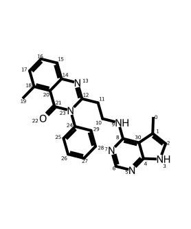 Cc1c[nH]c2ncnc(NCCc3nc4cccc(C)c4c(=O)n3-c3ccccc3)c12